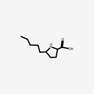 CCCCCC1CCC(C(=O)O)N1